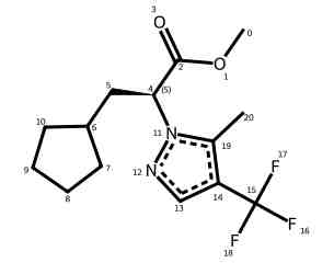 COC(=O)[C@H](CC1CCCC1)n1ncc(C(F)(F)F)c1C